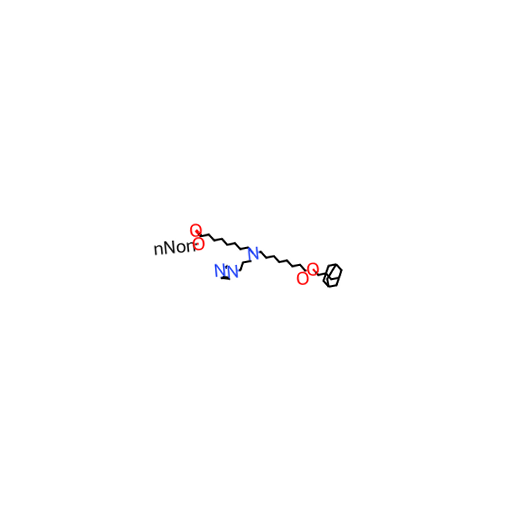 CCCCCCCCCOC(=O)CCCCCCCN(CCCCCCCC(=O)OCC12CC3CC(CC(C3)C1)C2)CCCn1ccnc1